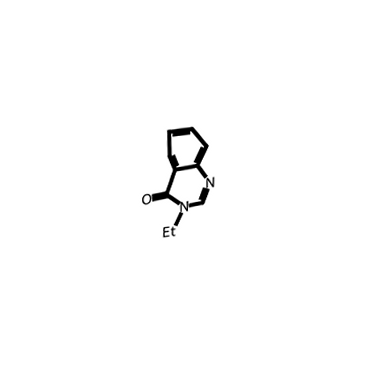 [CH2]Cn1cnc2ccccc2c1=O